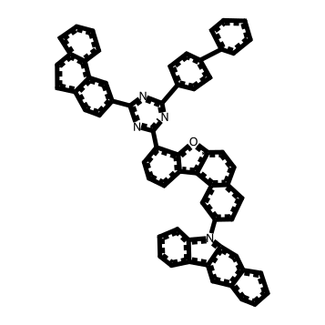 c1ccc(-c2ccc(-c3nc(-c4ccc5ccc6ccccc6c5c4)nc(-c4cccc5c4oc4ccc6ccc(-n7c8ccccc8c8cc9ccccc9cc87)cc6c45)n3)cc2)cc1